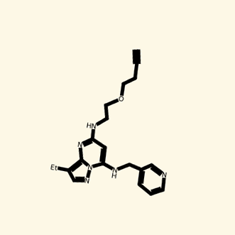 C#CCCOCCNc1cc(NCc2cccnc2)n2ncc(CC)c2n1